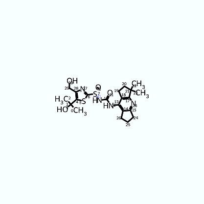 CC(C)(O)c1sc(/[SH](=O)=N/C(=O)Nc2c3c(nc4c2CCC4(C)C)CCC3)nc1CO